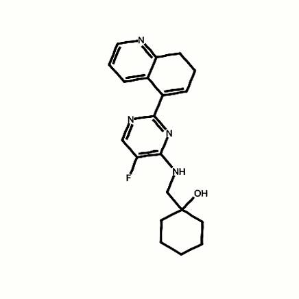 OC1(CNc2nc(C3=CCCc4ncccc43)ncc2F)CCCCC1